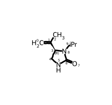 C=C(C)[C@@H]1CNC(=O)N1C(C)C